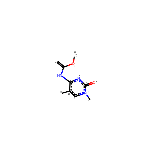 C=C(Nc1nc(=O)n(C)cc1C)OCC